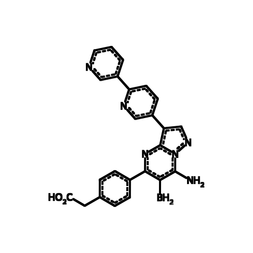 Bc1c(-c2ccc(CC(=O)O)cc2)nc2c(-c3ccc(-c4cccnc4)nc3)cnn2c1N